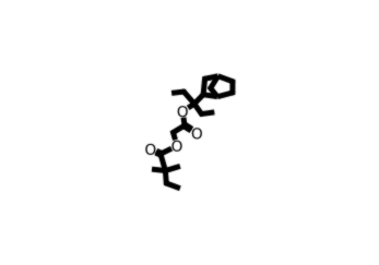 CCC(C)(C)C(=O)OCC(=O)OC(CC)(CC)C1CC2CCC1C2